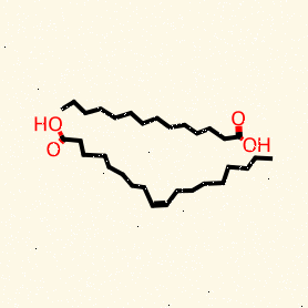 CCCCCCCC/C=C\CCCCCCCC(=O)O.CCCCCCCCCCCCCC(=O)O